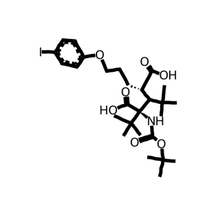 CC(C)(C)OC(=O)N[C@@](C(=O)O)(C([C@H](CCCOc1ccc(I)cc1)C(=O)O)C(C)(C)C)C(C)(C)C